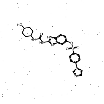 O=C(Nc1nc2cc(OS(=O)(=O)c3ccc(-n4ccnc4)cc3)ccc2[nH]1)NC1CCC(O)CC1